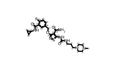 CN1CCN(CCCNC(=O)Nc2snc(OCc3ccc(F)c(C(=O)NC4CC4)c3)c2C(N)=O)CC1